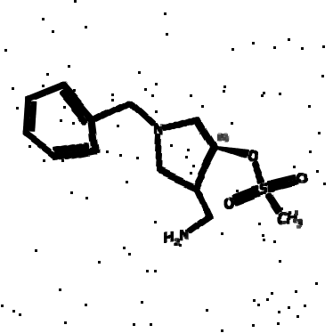 CS(=O)(=O)O[C@@H]1CN(Cc2ccccc2)CC1CN